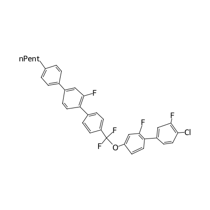 CCCCCc1ccc(-c2ccc(-c3ccc(C(F)(F)Oc4ccc(-c5ccc(Cl)c(F)c5)c(F)c4)cc3)c(F)c2)cc1